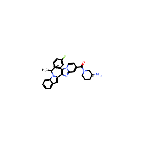 Cc1c(-c2cc3ccccc3n2C(C)c2ccc(F)cc2)nc2cc(C(=O)N3CCC[C@@H](N)C3)ccn12